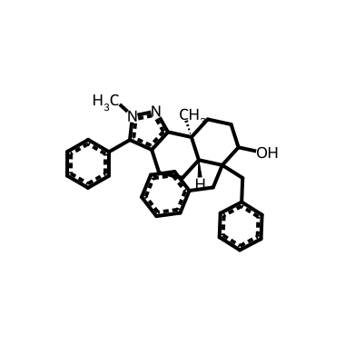 Cn1nc2c(c1-c1ccccc1)CC[C@H]1C(Cc3ccccc3)(Cc3ccccc3)C(O)CC[C@]21C